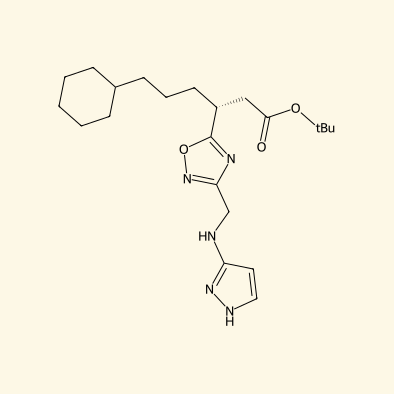 CC(C)(C)OC(=O)C[C@@H](CCCC1CCCCC1)c1nc(CNc2cc[nH]n2)no1